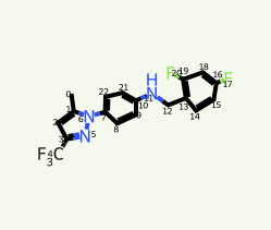 Cc1cc(C(F)(F)F)nn1-c1ccc(NCc2ccc(F)cc2F)cc1